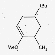 COC1=CC=C(C(C)(C)C)CC1C